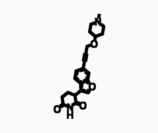 CN1CCC(OCC#Cc2ccc3c(C4CCC(=O)NC4=O)coc3c2)CC1